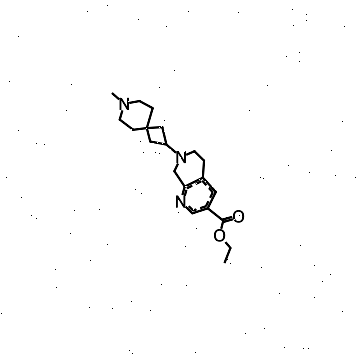 CCOC(=O)c1cnc2c(c1)CCN(C1CC3(CCN(C)CC3)C1)C2